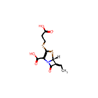 C/C=C1\C(=O)N2C(C(=O)O)=C(SCCC(=O)O)S[C@H]12